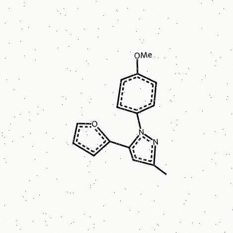 COc1ccc(-n2nc(C)cc2-c2ccco2)cc1